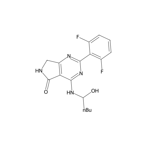 CCCCC(O)Nc1nc(-c2c(F)cccc2F)nc2c1C(=O)NC2